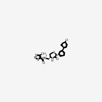 Cc1nnsc1C(=O)NC[C@@H]1CCS[C@H](c2cccc(-c3ccc(Cl)cc3)c2)C(=O)N1